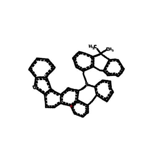 CC1(C)c2ccccc2-c2c(N(c3ccc4ccc5oc6ccccc6c5c4c3)c3ccccc3-c3ccccc3)cccc21